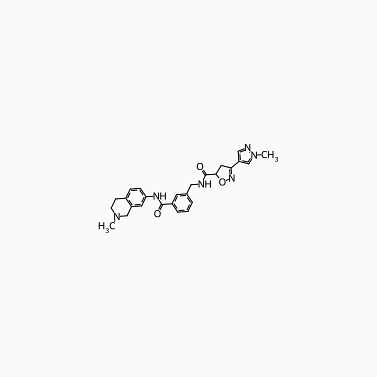 CN1CCc2ccc(NC(=O)c3cccc(CNC(=O)C4CC(c5cnn(C)c5)=NO4)c3)cc2C1